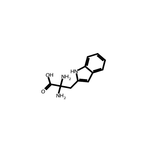 NC(N)(Cc1cc2ccccc2[nH]1)C(=O)O